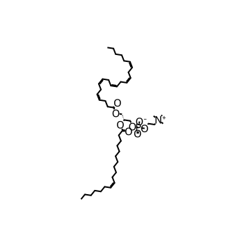 CCCCC/C=C\C/C=C\C/C=C\C/C=C\C/C=C\CCC(=O)OC[C@H](COP(=O)([O-])OCC[N+](C)(C)C)OC(=O)CCCCCCCCC/C=C\CCCCCC